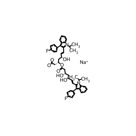 CC(C)n1c(/C=C/[C@H](O)C[C@H](O)CC(=O)O[C@H](CC(=O)[O-])C[C@@H](O)/C=C/c2c(-c3ccc(F)cc3)c3ccccc3n2C(C)C)c(-c2ccc(F)cc2)c2ccccc21.[Na+]